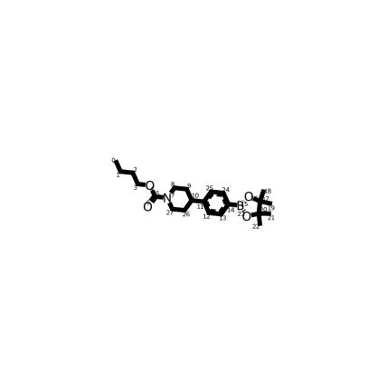 CCCCOC(=O)N1CCC(c2ccc(B3OC(C)(C)C(C)(C)O3)cc2)CC1